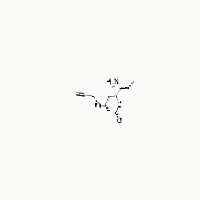 C#CCOc1cc([C@H](N)CCC)oc(=O)c1